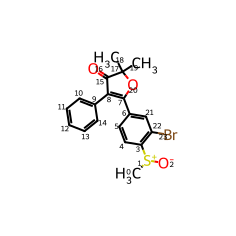 C[S+]([O-])c1ccc(C2=C(c3ccccc3)C(=O)C(C)(C)O2)cc1Br